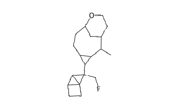 CC1C2CCOC(CCC3C1C3C1(CF)C3C4CCC431)C2